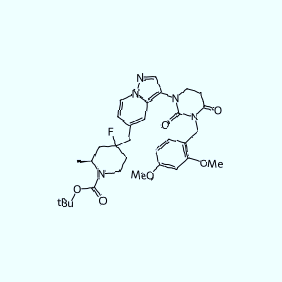 COc1ccc(CN2C(=O)CCN(c3cnn4ccc(CC5(F)CCN(C(=O)OC(C)(C)C)[C@@H](C)C5)cc34)C2=O)c(OC)c1